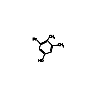 Cc1cc(O)cc(C(C)C)c1C